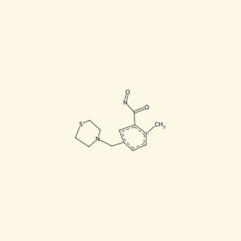 Cc1ccc(CN2CCSCC2)cc1C(=O)N=O